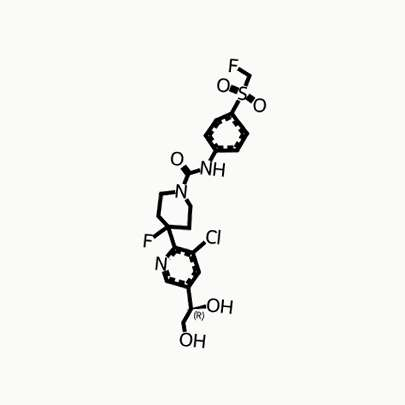 O=C(Nc1ccc(S(=O)(=O)CF)cc1)N1CCC(F)(c2ncc([C@@H](O)CO)cc2Cl)CC1